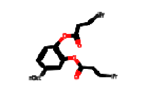 CCCCCCCCc1ccc(OC(=O)CCC(C)C)c(OC(=O)CCC(C)C)c1